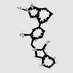 Cc1cc(-c2cccc3nn(C)cc23)ccc1CN1Cc2ncccc2C1=O